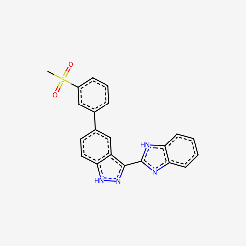 CS(=O)(=O)c1cccc(-c2ccc3[nH]nc(-c4nc5ccccc5[nH]4)c3c2)c1